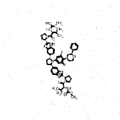 COC(=O)N[C@H](C(=O)N1CCC[C@H]1c1nc2cc([C@H]3CC[C@H](c4ccc5[nH]c([C@@H]6CCCN6C(=O)[C@@H](NC(O)OC)C(C)C)nc5c4)N3c3cc(F)c(N4CCOC(c5ccccc5)C4)c(F)c3)ccc2[nH]1)C(C)C